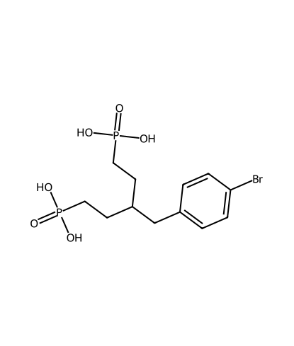 O=P(O)(O)CCC(CCP(=O)(O)O)Cc1ccc(Br)cc1